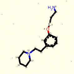 NCCCOc1cccc(CCN2CCCCC2)c1